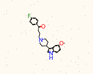 COc1ccc2[nH]cc(C3CCN(CCCC(=O)c4ccc(F)cc4)CC3)c2c1